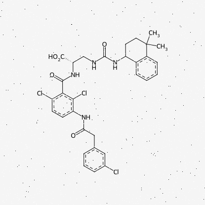 CC1(C)CCC(NC(=O)NC[C@H](NC(=O)c2c(Cl)ccc(NC(=O)Cc3cccc(Cl)c3)c2Cl)C(=O)O)c2ccccc21